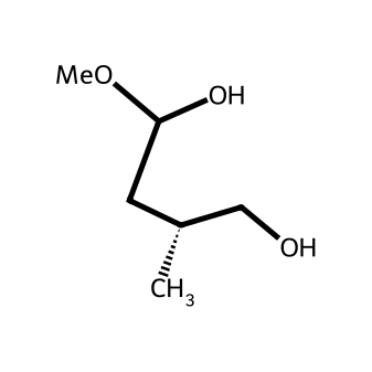 COC(O)C[C@@H](C)CO